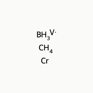 B.C.[Cr].[V]